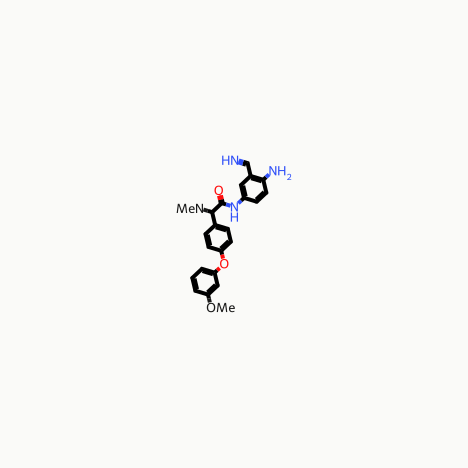 CNC(C(=O)Nc1ccc(N)c(C=N)c1)c1ccc(Oc2cccc(OC)c2)cc1